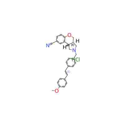 COc1ccc(/C=C/c2ccc(CN3C[C@@H]4COc5ccc(C#N)cc5[C@H]4C3)cc2)cc1.Cl